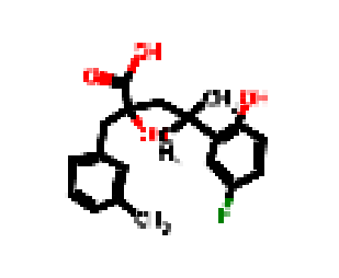 Cc1cccc(CC(O)(CC(C)(C)c2cc(F)ccc2O)C(=O)O)c1